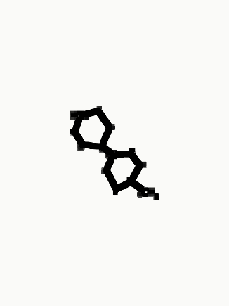 CC1CCN(C2CCNCC2)CC1